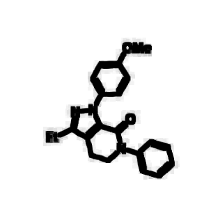 CCc1nn(-c2ccc(OC)cc2)c2c1CCN(c1ccccc1)C2=O